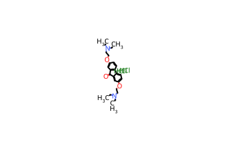 CCN(CC)CCOc1ccc2c(c1)C(=O)c1cc(OCCN(CC)CC)ccc1-2.Cl.Cl.Cl